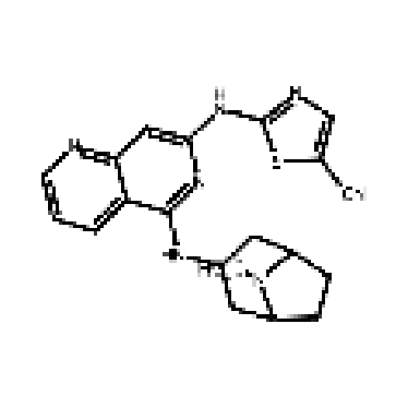 N#Cc1cnc(Nc2cc3ncccc3c(NC3CC4CCC(C3)N4C(=O)O)n2)s1